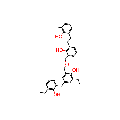 CCc1cc(Cc2cccc(CC)c2O)cc(COCc2cccc(CCc3cccc(C)c3O)c2O)c1O